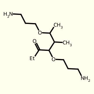 CCC(=O)C(OCCCN)C(C)C(C)OCCCN